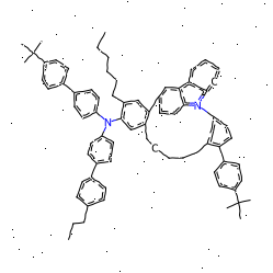 CCCCCCc1cc2c(cc1N(c1ccc(-c3ccc(CCC)cc3)cc1)c1ccc(-c3ccc(C(C)(C)C)cc3)cc1)CCCCCc1cc(ccc1-c1ccc(C(C)(C)C)cc1)-n1c3ccccc3c3cc-2ccc31